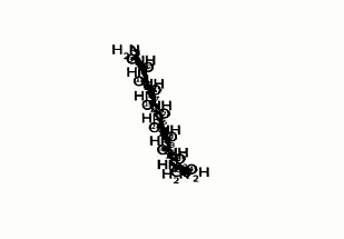 NCC(=O)NCC(=O)NCC(=O)NCC(=O)NCC(=O)NCC(=O)NCC(=O)NCC(=O)NCC(=O)NCC(=O)N[C@@H](CC(N)=O)C(=O)O